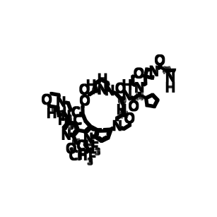 CO[C@@H](C)c1ncc(N2CCN3CCOC[C@@H]3C2)cc1-c1c2c3cc(ccc3n1CC(F)(F)F)N1CCO[C@@H](C[C@H](NC(=O)[C@H](C3CCCC3)N3CCOC4(CN(C(=O)[C@H]5CN5)C4)C3)C(=O)N3CCC[C@H](N3)C(=O)OCC(C)(C)C2)C1